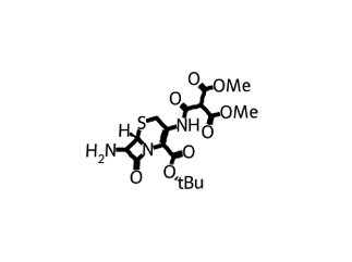 COC(=O)C(C(=O)NC1=C(C(=O)OC(C)(C)C)N2C(=O)C(N)[C@@H]2SC1)C(=O)OC